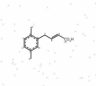 Cc1ccc(C)c(C/C=C/C(=O)O)c1